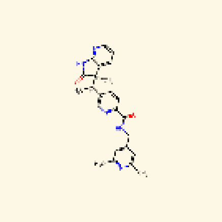 Cc1cc(CNC(=O)c2ccc([C@@H](C)[C@@]3(C)C(=O)Nc4ncccc43)cn2)cc(C)n1